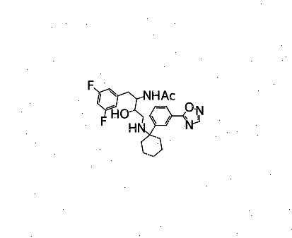 CC(=O)NC(Cc1cc(F)cc(F)c1)C(O)CNC1(c2cccc(-c3ncno3)c2)CCCCC1